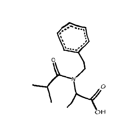 CC(C)C(=O)N(Cc1ccccc1)C(C)C(=O)O